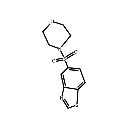 O=S(=O)(c1ccc2scnc2c1)N1CCOCC1